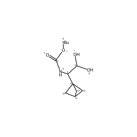 CC(C)(C)OC(=O)NC(C(O)O)C12CC(C1)C2